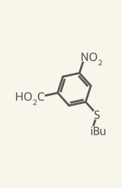 CCC(C)Sc1cc(C(=O)O)cc([N+](=O)[O-])c1